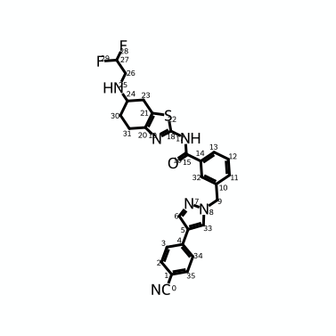 N#Cc1ccc(-c2cnn(Cc3cccc(C(=O)Nc4nc5c(s4)CC(NCC(F)F)CC5)c3)c2)cc1